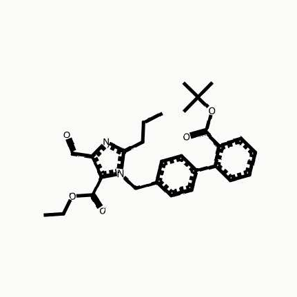 CCCc1nc(C=O)c(C(=O)OCC)n1Cc1ccc(-c2ccccc2C(=O)OC(C)(C)C)cc1